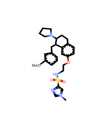 COc1cccc(CC2c3cc(OCCNS(=O)(=O)c4cn(C)cn4)ccc3CCC2N2CCCC2)c1